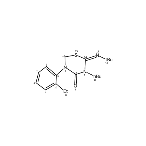 CCCCN1C(=O)N(c2ccccc2CC)CSC1=NC(C)(C)C